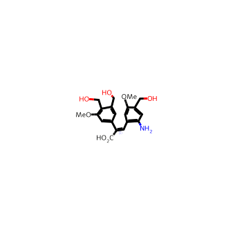 COc1cc(/C=C(/C(=O)O)c2cc(CO)c(CO)c(OC)c2)c(N)cc1CO